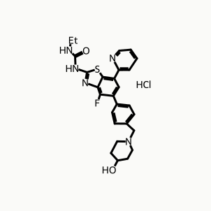 CCNC(=O)Nc1nc2c(F)c(-c3ccc(CN4CCC(O)CC4)cc3)cc(-c3ccccn3)c2s1.Cl